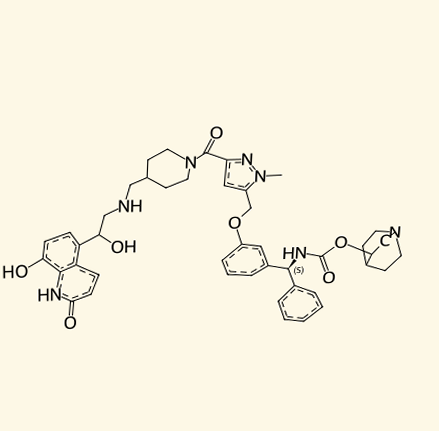 Cn1nc(C(=O)N2CCC(CNCC(O)c3ccc(O)c4[nH]c(=O)ccc34)CC2)cc1COc1cccc([C@@H](NC(=O)OC2CN3CCC2CC3)c2ccccc2)c1